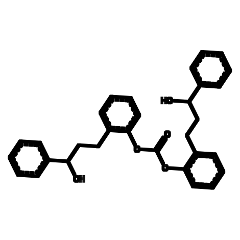 O=C(Oc1ccccc1CCC(O)c1ccccc1)Oc1ccccc1CCC(O)c1ccccc1